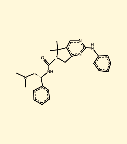 CN(C)C[C@H](NC(=O)N1Cc2nc(Nc3ccccc3)ncc2C1(C)C)c1ccccc1